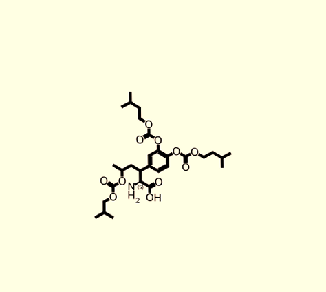 CC(C)CCOC(=O)Oc1ccc(C(CC(C)OC(=O)OCC(C)C)[C@H](N)C(=O)O)cc1OC(=O)OCCC(C)C